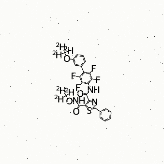 [2H]C([2H])([2H])ONC(=O)c1sc(-c2ccccc2)nc1C(=O)Nc1c(F)c(F)c(-c2cccc(OC([2H])([2H])[2H])c2)c(F)c1F